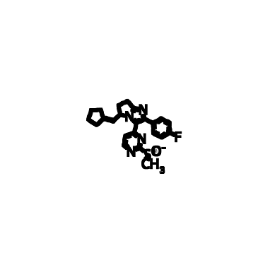 C[S+]([O-])c1nccc(-c2c(-c3ccc(F)cc3)nc3n2C(C=C2CCCC2)CC3)n1